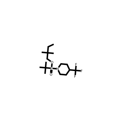 CCC(C)(C)COP(=O)(N1CCC(C(F)(F)F)CC1)C(C)(C)C